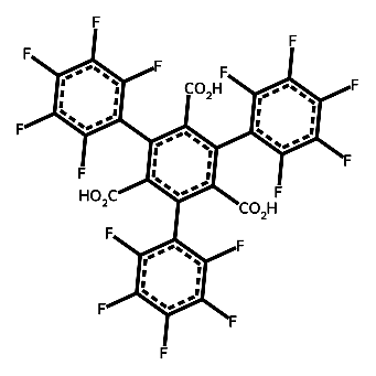 O=C(O)c1c(-c2c(F)c(F)c(F)c(F)c2F)c(C(=O)O)c(-c2c(F)c(F)c(F)c(F)c2F)c(C(=O)O)c1-c1c(F)c(F)c(F)c(F)c1F